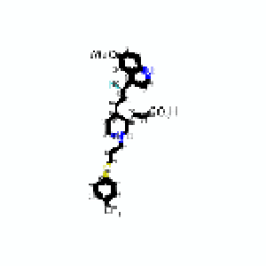 COc1ccc2nccc([C@H](F)CC[C@@H]3CCN(CCCSc4ccc(C(F)(F)F)cc4)C[C@H]3CCC(=O)O)c2c1